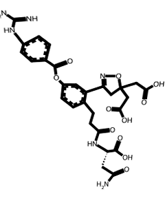 N=C(N)Nc1ccc(C(=O)Oc2ccc(CCC(=O)N[C@@H](CC(N)=O)C(=O)O)c(C3=NOC(CC(=O)O)(CC(=O)O)C3)c2)cc1